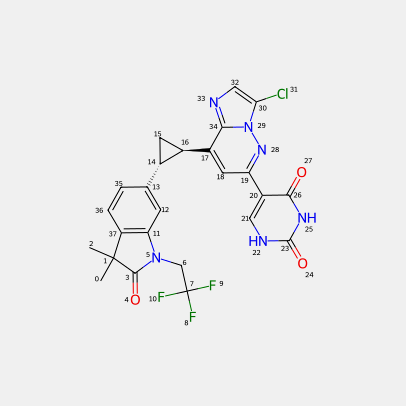 CC1(C)C(=O)N(CC(F)(F)F)c2cc([C@@H]3C[C@H]3c3cc(-c4c[nH]c(=O)[nH]c4=O)nn4c(Cl)cnc34)ccc21